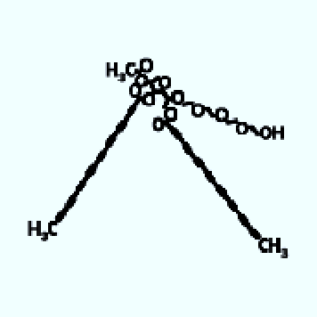 CC#CC#CC#CC#CC#CC#CC#CC#CC(=O)OCC(OCCOCCOCCOCCO)C1OCC(OC(C)=O)C1OC(=O)C#CC#CC#CC#CC#CC#CC#CC#CC